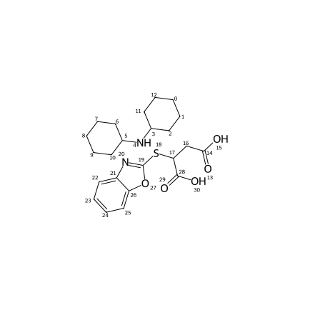 C1CCC(NC2CCCCC2)CC1.O=C(O)CC(Sc1nc2ccccc2o1)C(=O)O